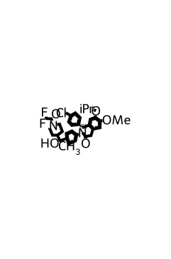 COc1cc2c(cc1OC(C)C)[C@H](c1ccc(Cl)cc1)N(c1ccc(C(C)(O)C3CCN(C(=O)C(F)F)CC3)cc1)C(=O)C2